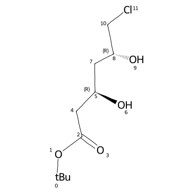 CC(C)(C)OC(=O)C[C@H](O)C[C@@H](O)CCl